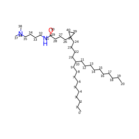 CCCCCCCCCCC(CCCCCCCCCC)CCCCC1(CCCC(=O)NCCCCN(C)C)CC1